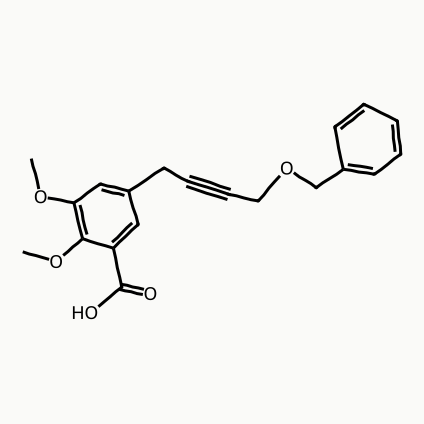 COc1cc(CC#CCOCc2ccccc2)cc(C(=O)O)c1OC